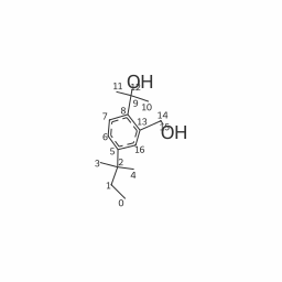 CCC(C)(C)c1ccc(C(C)(C)O)c(CO)c1